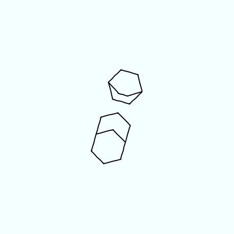 C1CC2CCC1CC2.C1CC2CCCC(C1)C2